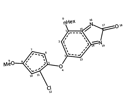 CCCCCCc1cc(Oc2ccc(OC)cc2Cl)cc2c1=NC(=O)N=2